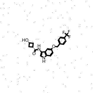 O=C(Nc1c[nH]c2ccc(OCc3ccc(C(F)(F)F)cc3)cc12)[C@H]1C[C@@H](O)C1